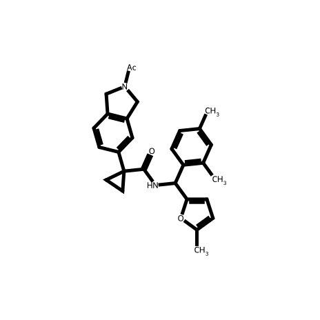 CC(=O)N1Cc2ccc(C3(C(=O)NC(c4ccc(C)o4)c4ccc(C)cc4C)CC3)cc2C1